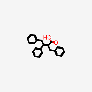 O=C(O)C(Cc1ccccc1)=C(Cc1ccccc1)c1ccccc1